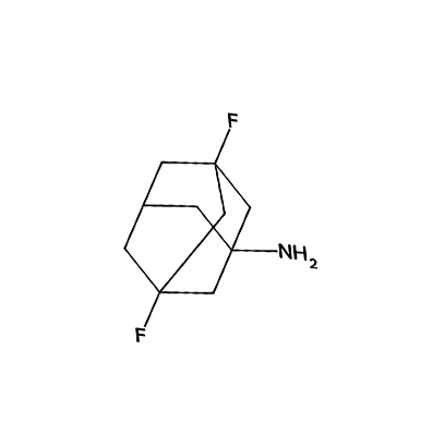 NC12CC3CC(F)(C1)CC(F)(C3)C2